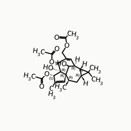 CC(=O)OCC1=C[C@@H]2C(O)[C@]3(C=C(C)[C@H](OC(C)=O)[C@@]3(O)[C@@H]1OC(C)=O)[C@H](C)C[C@@H]1[C@H]2C1(C)C